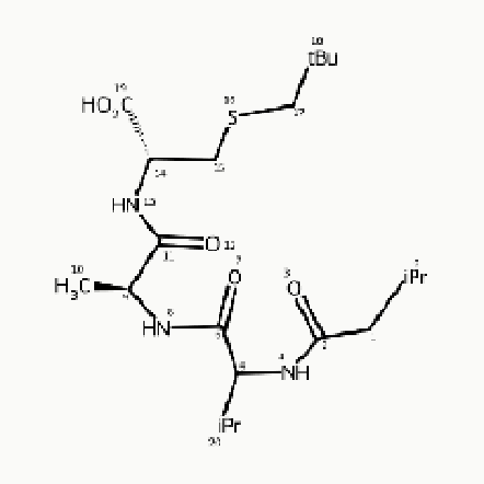 CC(C)CC(=O)NC(C(=O)N[C@@H](C)C(=O)N[C@@H](CSCC(C)(C)C)C(=O)O)C(C)C